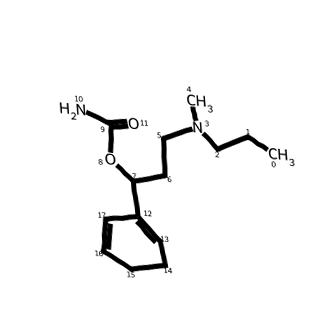 CCCN(C)CCC(OC(N)=O)C1=CCCC=C1